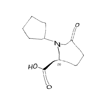 O=C(O)[C@@H]1CCC(=O)N1C1CCCC1